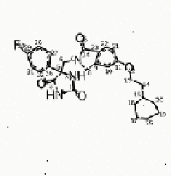 O=C1NC(=O)C(CN2Cc3cc(OCCC4CCCCC4)ccc3C2=O)(c2ccc(F)cc2)N1